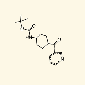 CC(C)(C)OC(=O)NC1CCC(C(=O)c2cccnc2)CC1